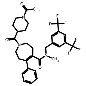 CC(=O)N1CCC(C(=O)N2CCC(C(=O)N(C)Cc3cc(C(F)(F)F)cc(C(F)(F)F)c3)=C(c3ccccc3)CC2)CC1